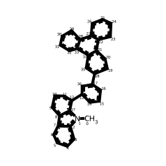 Cn1c2ccccc2c2cccc(-c3cccc(-c4ccc5c6ccccc6c6ccccc6c5c4)c3)c21